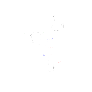 CCc1cccc(CNC[C@H](O)[C@H](Cc2cc(F)cc(F)c2)NC(=O)c2cc(Cl)cc3c2OCC3)c1